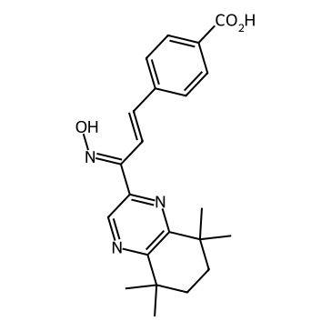 CC1(C)CCC(C)(C)c2nc(C(/C=C/c3ccc(C(=O)O)cc3)=NO)cnc21